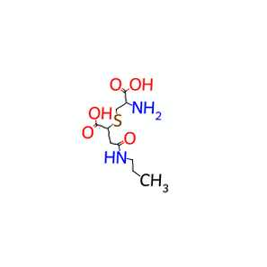 CCCNC(=O)CC(SCC(N)C(=O)O)C(=O)O